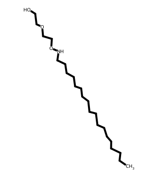 CCCCCCCCCCCCCCCCCCNOCCOCCO